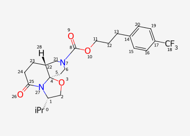 CC(C)[C@H]1CO[C@]23CCN(C(=O)OCCCc4ccc(C(F)(F)F)cc4)C[C@H]2CCC(=O)N13